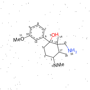 CNC1CCC(O)(c2cccc(OC)c2)C(C)(CN)C1C